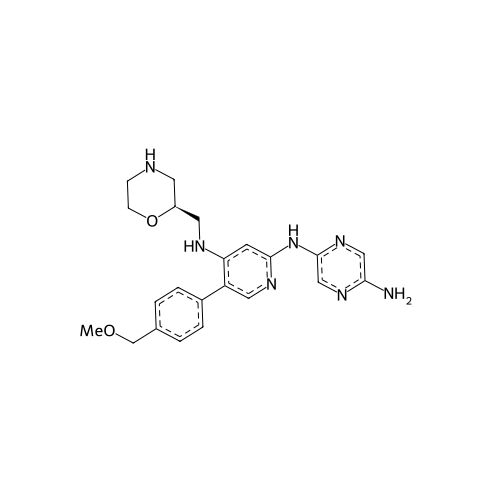 COCc1ccc(-c2cnc(Nc3cnc(N)cn3)cc2NC[C@@H]2CNCCO2)cc1